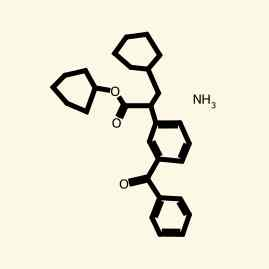 N.O=C(c1ccccc1)c1cccc(C(CC2CCCCC2)C(=O)OC2CCCCC2)c1